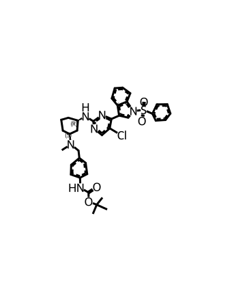 CN(Cc1ccc(NC(=O)OC(C)(C)C)cc1)[C@H]1CCC[C@@H](Nc2ncc(Cl)c(-c3cn(S(=O)(=O)c4ccccc4)c4ccccc34)n2)C1